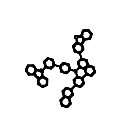 c1ccc(-c2ccc(-c3ccc4ccccc4c3)cc2N(c2ccc(-c3cccc(-n4c5ccccc5c5ccccc54)c3)cc2)c2cccc(-c3ccc4oc5ccccc5c4c3)c2)cc1